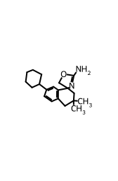 CC1(C)Cc2ccc(C3CCCCC3)cc2C2(COC(N)=N2)C1